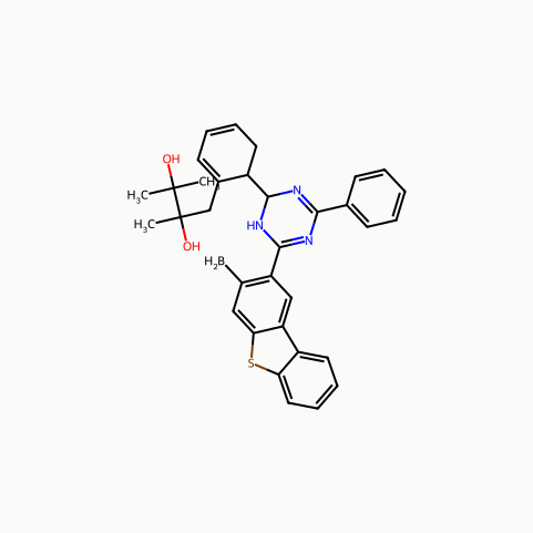 Bc1cc2sc3ccccc3c2cc1C1=NC(c2ccccc2)=NC(C2CC=CC=C2CC(C)(O)C(C)(C)O)N1